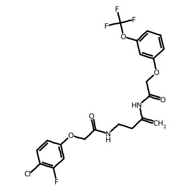 C=C(CCNC(=O)COc1ccc(Cl)c(F)c1)NC(=O)COc1cccc(OC(F)(F)F)c1